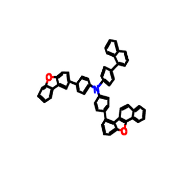 c1ccc2c(-c3ccc(N(c4ccc(-c5ccc6oc7ccccc7c6c5)cc4)c4ccc(-c5cccc6oc7c8ccccc8ccc7c56)cc4)cc3)cccc2c1